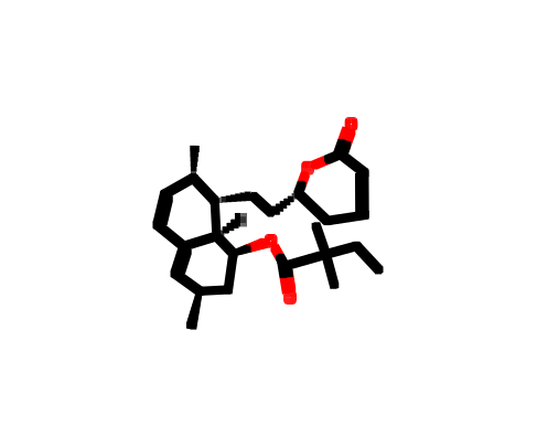 CCC(C)(C)C(=O)O[C@H]1C[C@@H](C)C=C2C=C[C@H](C)[C@H](CC[C@H]3CC=CC(=O)O3)[C@H]21